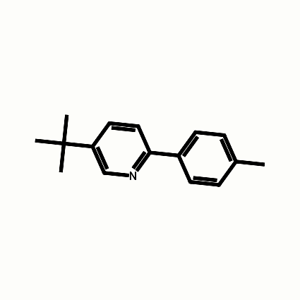 Cc1ccc(-c2ccc(C(C)(C)C)cn2)cc1